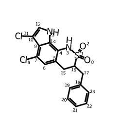 O=S1(=O)Nc2c(cc(Cl)c3c(Cl)c[nH]c23)CC1Cc1ccccc1